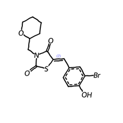 O=C1S/C(=C\c2ccc(O)c(Br)c2)C(=O)N1CC1CCCCO1